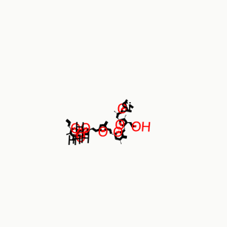 C=CC[C@@H]1O[C@H]2C3O[C@]4(CCC5CC(=C)C(CC[C@H]6C[C@@H](C)C(=C)C(C[C@@H]7O[C@H](C[C@H](C)CO[Si](CC)(CC)CC)[C@H](C)[C@H]7CCO)O6)O5)C[C@H]3O[C@H]2[C@@H](O4)[C@H]1C